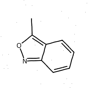 Cc1onc2ccccc12